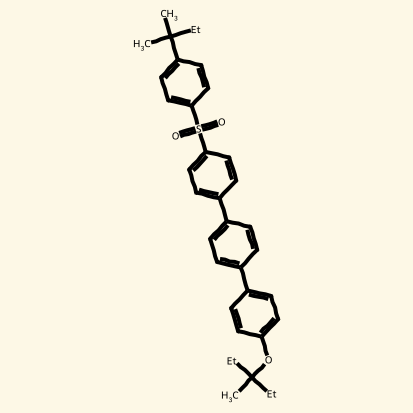 CCC(C)(CC)Oc1ccc(-c2ccc(-c3ccc(S(=O)(=O)c4ccc(C(C)(C)CC)cc4)cc3)cc2)cc1